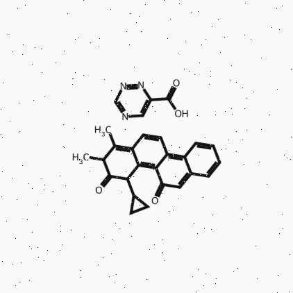 CC1=c2ccc3c(c2C(C2CC2)C(=O)C1C)C(=O)C=c1ccccc1=3.O=C(O)c1cncnn1